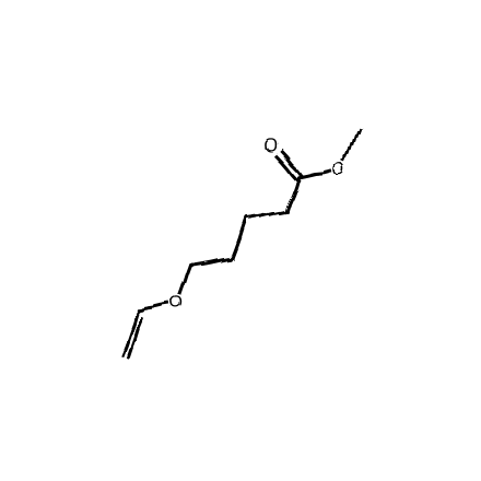 C=COCCCCC(=O)OC